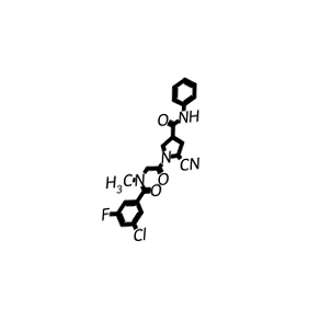 CN(CC(=O)N1CC(C(=O)Nc2ccccc2)CC1C#N)C(=O)c1cc(F)cc(Cl)c1